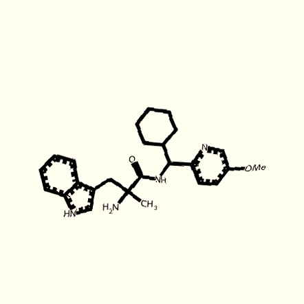 COc1ccc(C(NC(=O)C(C)(N)Cc2c[nH]c3ccccc23)C2CCCCC2)nc1